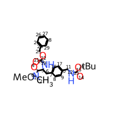 CON(C)C(=O)C(Cc1ccc(CNC(=O)OC(C)(C)C)cc1)NC(=O)OCc1ccccc1